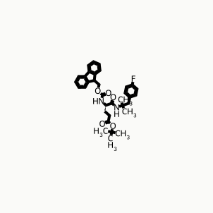 CC(C)(Cc1ccc(F)cc1)NC(=O)[C@H](CCC(=O)OC(C)(C)C)NC(=O)OCC1c2ccccc2-c2ccccc21